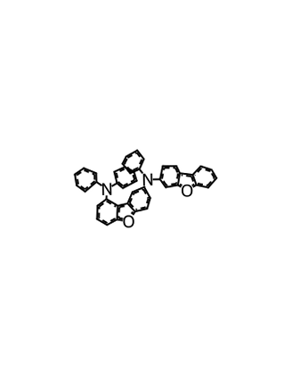 c1ccc(N(c2ccc3c(c2)oc2ccccc23)c2ccc3oc4cccc(N(c5ccccc5)c5ccccc5)c4c3c2)cc1